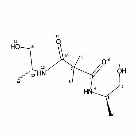 C[C@H](CO)NC(=O)C(C)(C)C(=O)N[C@H](C)CO